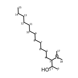 [CH2]C(O)C(CCCCCCCCCCCC)N(C)C